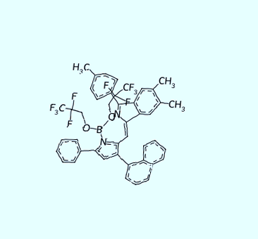 Cc1ccc(C2=N/C(=C\c3c(-c4cccc5ccccc45)cc(-c4ccccc4)n3B(OCC(F)(F)C(F)(F)F)OCC(F)(F)C(F)(F)F)c3cc(C)c(C)cc32)cc1